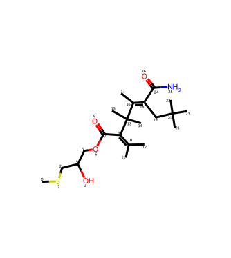 CSCC(O)COC(=O)C(=C(C)C)C(C)(C)/C(C)=C(\CC(C)(C)C)C(N)=O